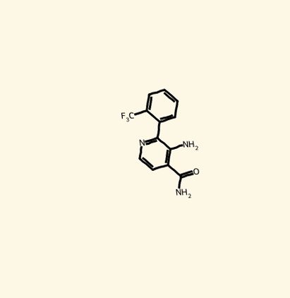 NC(=O)c1ccnc(-c2ccccc2C(F)(F)F)c1N